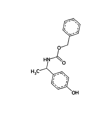 CC(NC(=O)OCc1ccccc1)c1ccc(O)cc1